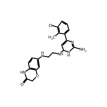 Cc1c(Cl)cccc1C1=CC(NCCNc2ccc3c(c2)OCC(=O)N3)NC(N)=N1